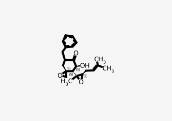 CC(C)=CC[C@H]1OC1(C)[C@H]1[C@H](O)C(=O)C(Cc2ccccc2)C[C@]12CO2